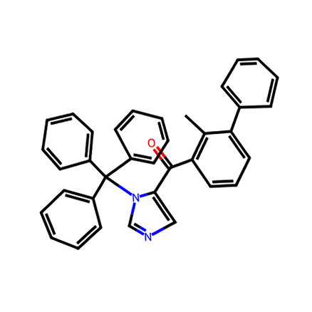 Cc1c(C(=O)c2cncn2C(c2ccccc2)(c2ccccc2)c2ccccc2)cccc1-c1ccccc1